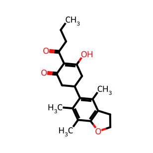 CCCC(=O)C1=C(O)CC(c2c(C)c(C)c3c(c2C)CCO3)CC1=O